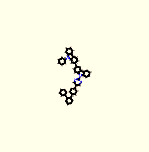 c1ccc(-c2ccccc2-c2ccc(-c3cnc(-n4c5ccccc5c5cc(-c6ccc7c8ccccc8n(-c8ccccc8)c7c6)ccc54)nc3)cc2)cc1